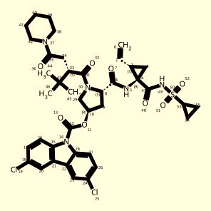 C=C[C@@H]1C[C@]1(NC(=O)[C@@H]1C[C@@H](OC(=O)n2c3ccc(Cl)cc3c3cc(Cl)ccc32)CN1C(=O)[C@@H](CC(=O)N1CCCCC1)C(C)(C)C)C(=O)NS(=O)(=O)C1CC1